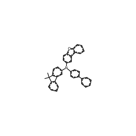 CC1(C)c2ccccc2-c2cc(N(c3ccc(-c4ccccc4)cc3)c3ccc4oc5ccccc5c4c3)ccc21